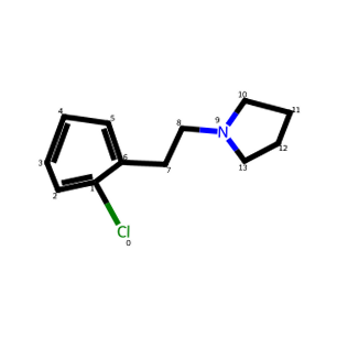 Clc1ccccc1CCN1C[CH]CC1